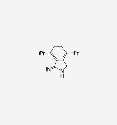 CC(C)c1ccc(C(C)C)c2c1CNC2=N